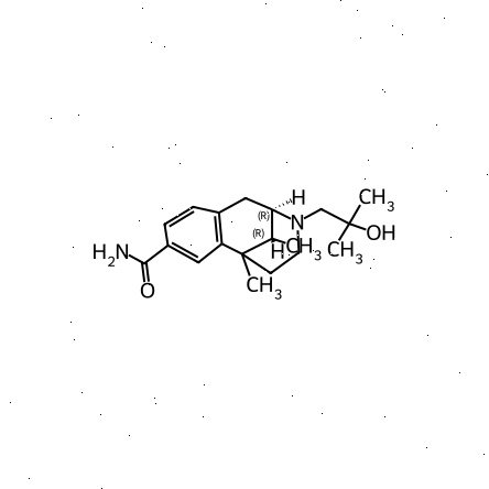 C[C@H]1[C@H]2Cc3ccc(C(N)=O)cc3C1(C)CCN2CC(C)(C)O